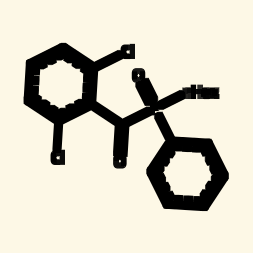 CCCCCCP(=O)(C(=O)c1c(Cl)cccc1Cl)c1ccccc1